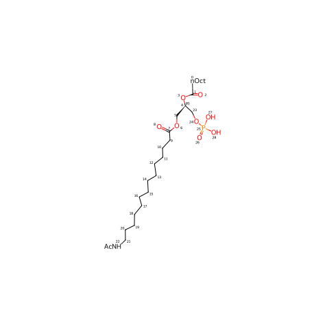 CCCCCCCCC(=O)O[C@H](COC(=O)CCCCCCCCCCCCCNC(C)=O)COP(=O)(O)O